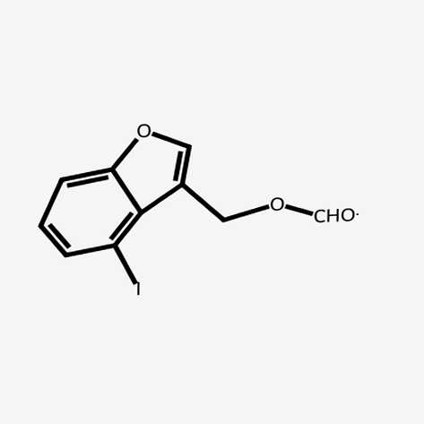 O=[C]OCc1coc2cccc(I)c12